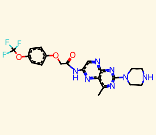 Cc1nc(N2CCNCC2)nc2ncc(NC(=O)COc3ccc(OC(F)(F)F)cc3)nc12